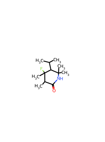 CC(C)C1C(C)(C)NC(=O)C(C)C1(C)F